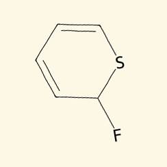 FC1C=CC=CS1